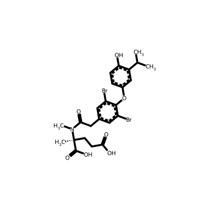 CC(C)c1cc(Oc2c(Br)cc(CC(=O)N(C)[C@@](C)(CCC(=O)O)C(=O)O)cc2Br)ccc1O